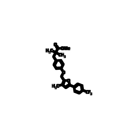 COC(=O)C(C)(C)Cc1ccc(OCc2oc(-c3ccc(C(F)(F)F)cc3)cc2C)cc1